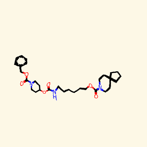 O=C(NCCCCCCOC(=O)N1CCC2(CCCC2)CC1)OC1CCN(C(=O)OCc2ccccc2)CC1